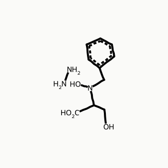 NN.O=C(O)C(CO)N(O)Cc1ccccc1